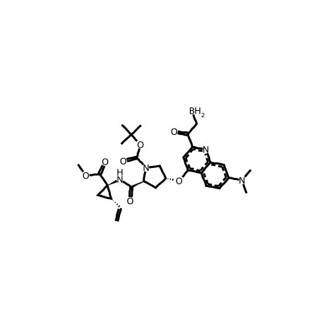 BCC(=O)c1cc(O[C@@H]2C[C@@H](C(=O)N[C@]3(C(=O)OC)C[C@H]3C=C)N(C(=O)OC(C)(C)C)C2)c2ccc(N(C)C)cc2n1